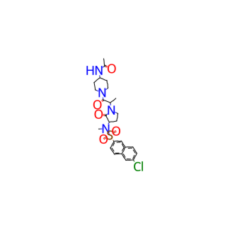 CC(=O)NC1CCN(C(=O)C(C)N2CCC(N(C)S(=O)(=O)c3ccc4cc(Cl)ccc4c3)C2=O)CC1